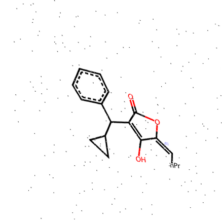 CCC/C=C1/OC(=O)C(C(c2ccccc2)C2CC2)=C1O